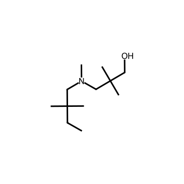 CCC(C)(C)CN(C)CC(C)(C)CO